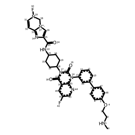 CNCCOc1ccc(-c2cccc(-n3c(=O)n(C4CCC(NC(=O)C5=C[N+]6CN(F)C=CC6=N5)CC4)c(=O)c4cc(F)cnc43)c2)cc1